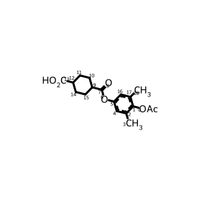 CC(=O)Oc1c(C)cc(OC(=O)C2CCC(C(=O)O)CC2)cc1C